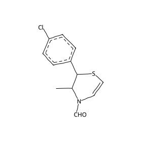 CC1C(c2ccc(Cl)cc2)SC=CN1C=O